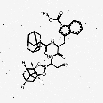 CC(C)C[C@H](NC(=O)[C@H](Cc1cn(C(=O)OC(C)(C)C)c2ccccc12)NC(=O)C12CC3CC(C1)C(=O)C(C3)C2)B1O[C@@H]2C[C@@H]3C[C@@H](C3(C)C)[C@]2(C)O1